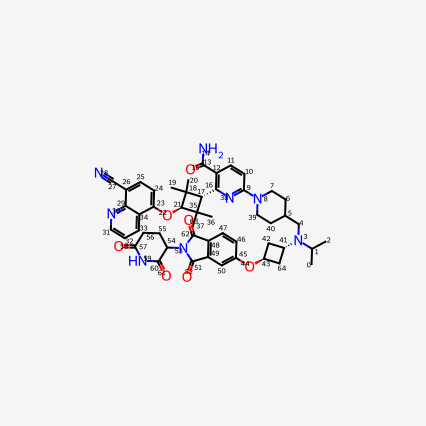 CC(C)N(CC1CCN(c2ccc(C(N)=O)c([C@H]3C(C)(C)[C@H](Oc4ccc(C#N)c5ncccc45)C3(C)C)n2)CC1)[C@H]1C[C@H](Oc2ccc3c(c2)C(=O)N(C2CCC(=O)NC2=O)C3=O)C1